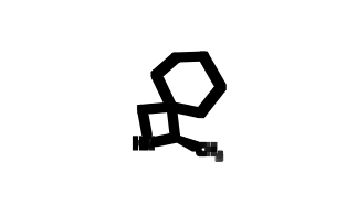 C[C@H]1NCC12CCCCC2